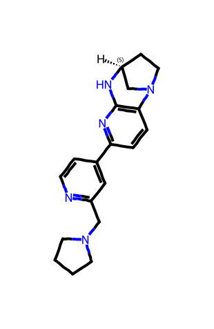 c1cc(-c2ccc3c(n2)N[C@H]2CCN3C2)cc(CN2CCCC2)n1